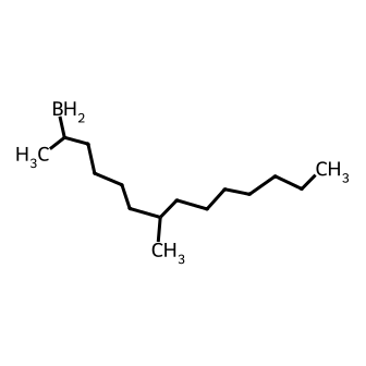 BC(C)CCCCC(C)CCCCCCC